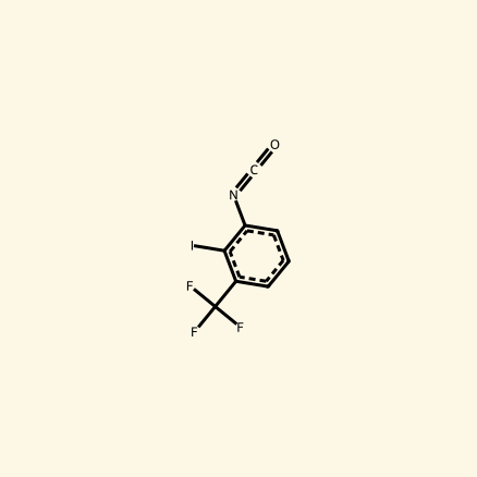 O=C=Nc1cccc(C(F)(F)F)c1I